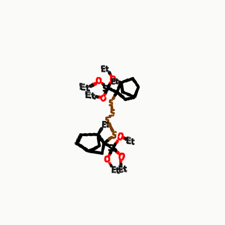 CCO[Si](OCC)(OCC)C1(SSSSC2([Si](OCC)(OCC)OCC)CC3CCC2(CC)C3)CC2CCC1(CC)C2